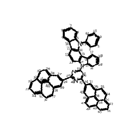 c1ccc(-n2c3ccccc3c3ccc4c(c5ccccc5n4-c4nc(-c5cc6ccc7cccc8ccc(c5)c6c78)nc(-c5cc6ccc7cccc8ccc(c5)c6c78)n4)c32)cc1